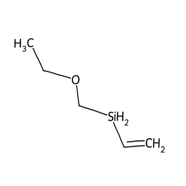 C=C[SiH2]COCC